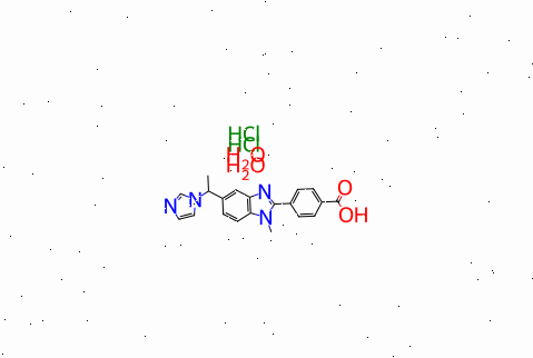 CC(c1ccc2c(c1)nc(-c1ccc(C(=O)O)cc1)n2C)n1ccnc1.Cl.Cl.O.O